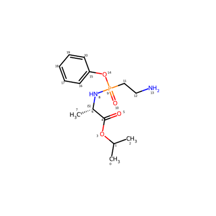 CC(C)OC(=O)[C@H](C)NP(=O)(CCN)Oc1ccccc1